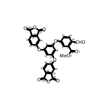 COC(=O)c1cc(Oc2cc(Oc3ccc4c(c3)C(=O)OC4=O)cc(Oc3ccc4c(c3)C(=O)OC4=O)c2)ccc1C=O